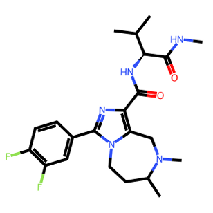 CNC(=O)[C@@H](NC(=O)c1nc(-c2ccc(F)c(F)c2)n2c1CN(C)C(C)CC2)C(C)C